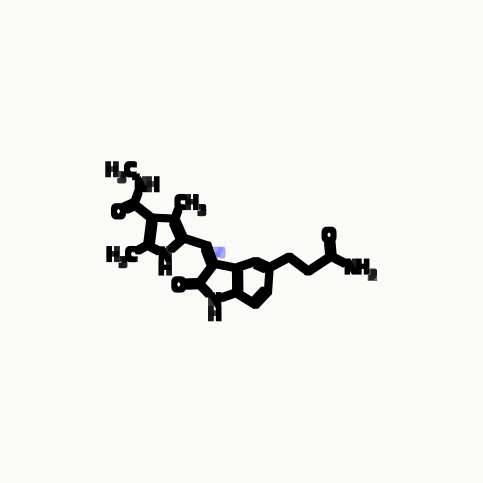 CNC(=O)c1c(C)[nH]c(/C=C2\C(=O)Nc3ccc(CCC(N)=O)cc32)c1C